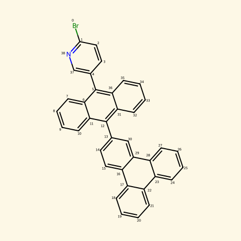 Brc1ccc(-c2c3ccccc3c(-c3ccc4c5ccccc5c5ccccc5c4c3)c3ccccc23)cn1